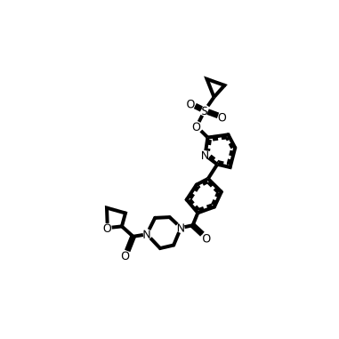 O=C(c1ccc(-c2cccc(OS(=O)(=O)C3CC3)n2)cc1)N1CCN(C(=O)C2CCO2)CC1